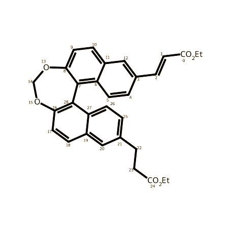 CCOC(=O)/C=C/c1ccc2c3c(ccc2c1)OCOc1ccc2cc(CCC(=O)OCC)ccc2c1-3